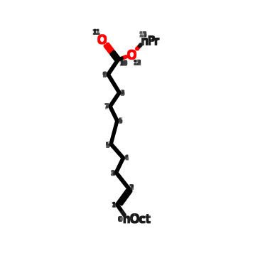 CCCCCCCCC=CCCCCCCCC(=O)OCCC